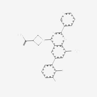 COc1cc(-c2cccc(F)c2F)cc2c(N3CC(C(N)=O)C3)nc(-c3cccnc3)nc12